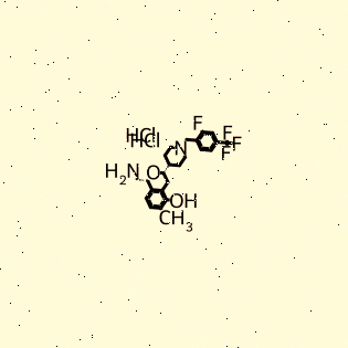 Cc1ccc2c(c1O)C[C@@H](C1CCN(Cc3ccc(C(F)(F)F)cc3F)CC1)O[C@H]2CN.Cl.Cl